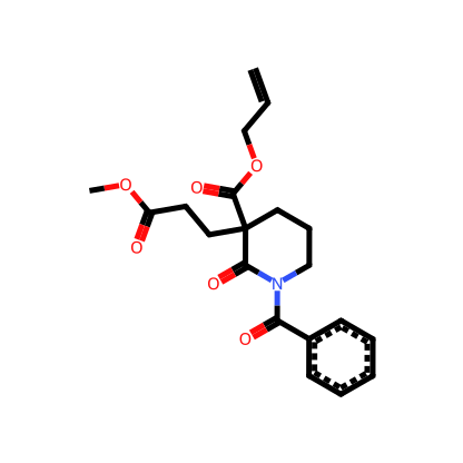 C=CCOC(=O)C1(CCC(=O)OC)CCCN(C(=O)c2ccccc2)C1=O